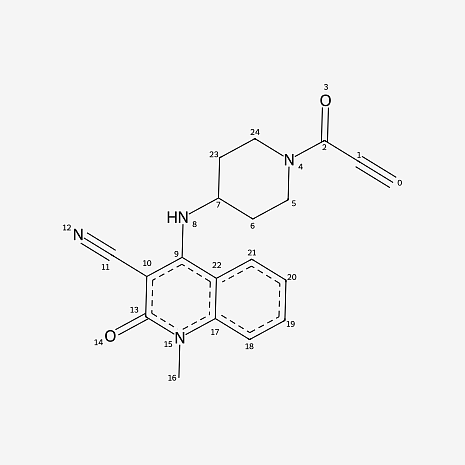 C#CC(=O)N1CCC(Nc2c(C#N)c(=O)n(C)c3ccccc23)CC1